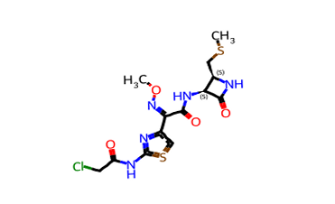 CON=C(C(=O)N[C@@H]1C(=O)N[C@@H]1CSC)c1csc(NC(=O)CCl)n1